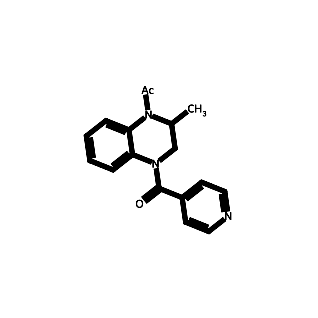 CC(=O)N1c2ccccc2N(C(=O)c2ccncc2)CC1C